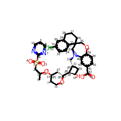 CC(CS(=O)(=O)c1ncccn1)O[C@@H]1CCO[C@@H]([C@@H]2CC[C@H]2CN2CC3(CCCc4cc(Cl)ccc43)COc3ccc(C(=O)O)cc32)C1